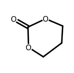 O=C1OCCCO1